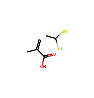 C=C(C)C(=O)O.CC(S)S